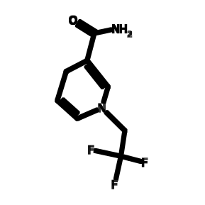 NC(=O)C1=CN(CC(F)(F)F)C=CC1